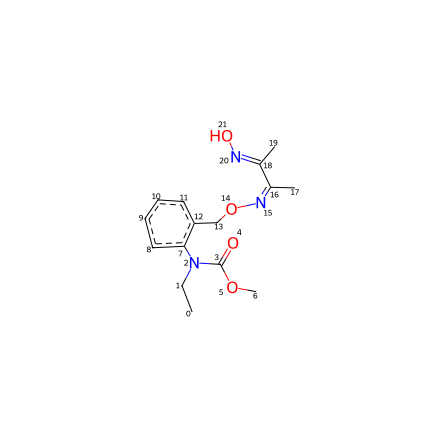 CCN(C(=O)OC)c1ccccc1CON=C(C)C(C)=NO